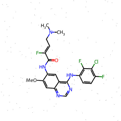 COc1cc2ncnc(Nc3ccc(F)c(Cl)c3F)c2cc1NC(=O)C(F)=CCN(C)C